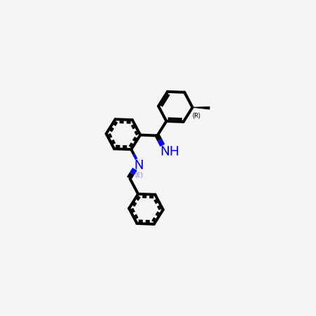 C[C@H]1C=C(C(=N)c2ccccc2/N=C/c2ccccc2)C=CC1